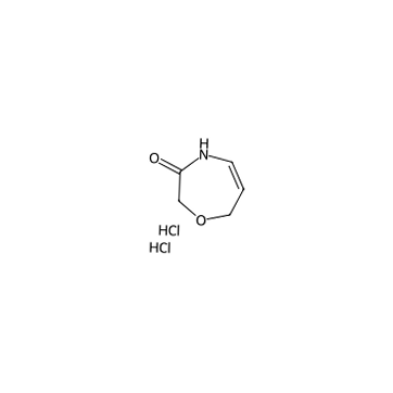 Cl.Cl.O=C1COCC=CN1